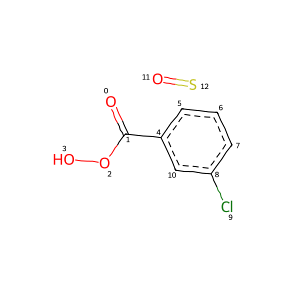 O=C(OO)c1cccc(Cl)c1.O=S